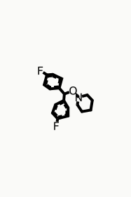 Fc1ccc(C(ON2CCCCC2)c2ccc(F)cc2)cc1